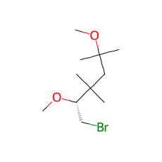 CO[C@@H](CBr)C(C)(C)CC(C)(C)OC